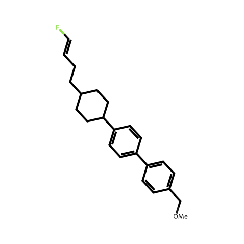 COCc1ccc(-c2ccc(C3CCC(CCC=CF)CC3)cc2)cc1